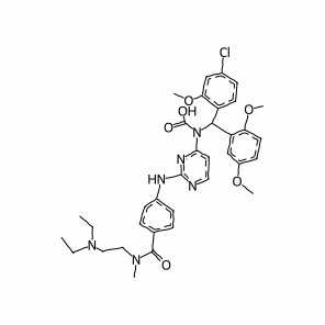 CCN(CC)CCN(C)C(=O)c1ccc(Nc2nccc(N(C(=O)O)C(c3ccc(Cl)cc3OC)c3cc(OC)ccc3OC)n2)cc1